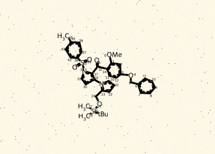 COc1cc(OCc2ccccc2)ccc1C(=O)c1c(-n2cccc2CO[Si](C)(C)C(C)(C)C)ccn1S(=O)(=O)c1ccc(C)cc1